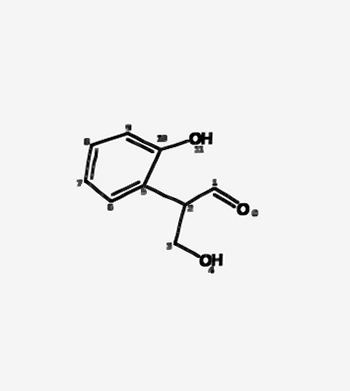 O=CC(CO)c1ccccc1O